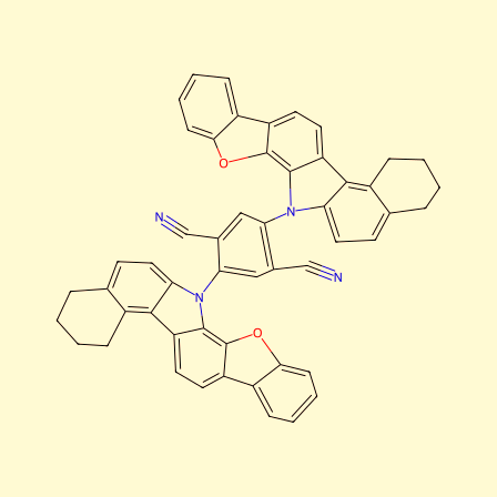 N#Cc1cc(-n2c3ccc4c(c3c3ccc5c6ccccc6oc5c32)CCCC4)c(C#N)cc1-n1c2ccc3c(c2c2ccc4c5ccccc5oc4c21)CCCC3